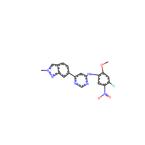 COc1cc(F)c([N+](=O)[O-])cc1Nc1cc(-c2ccc3cn(C)nc3c2)ncn1